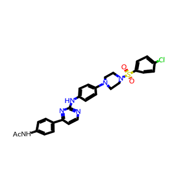 CC(=O)Nc1ccc(-c2ccnc(Nc3ccc(N4CCN(S(=O)(=O)c5ccc(Cl)cc5)CC4)cc3)n2)cc1